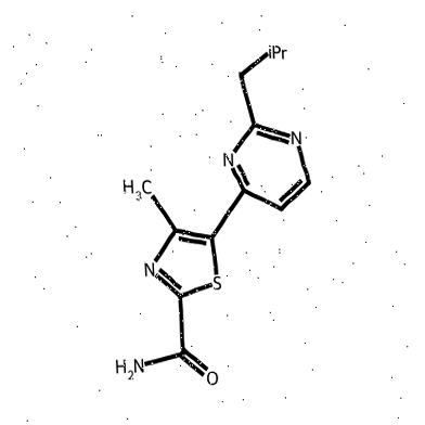 Cc1nc(C(N)=O)sc1-c1ccnc(CC(C)C)n1